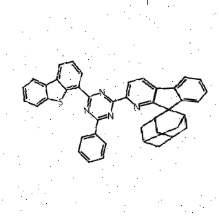 c1ccc(-c2nc(-c3ccc4c(n3)C3(c5ccccc5-4)C4CC5CC(C4)CC3C5)nc(-c3cccc4c3sc3ccccc34)n2)cc1